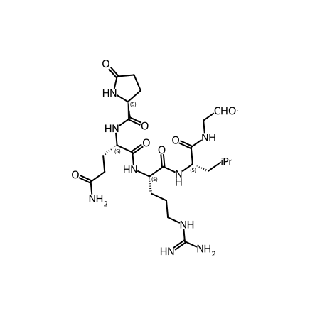 CC(C)C[C@H](NC(=O)[C@H](CCCNC(=N)N)NC(=O)[C@H](CCC(N)=O)NC(=O)[C@@H]1CCC(=O)N1)C(=O)NC[C]=O